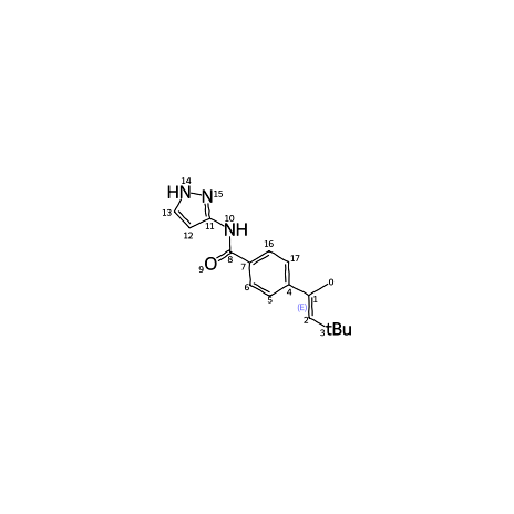 C/C(=C\C(C)(C)C)c1ccc(C(=O)Nc2cc[nH]n2)cc1